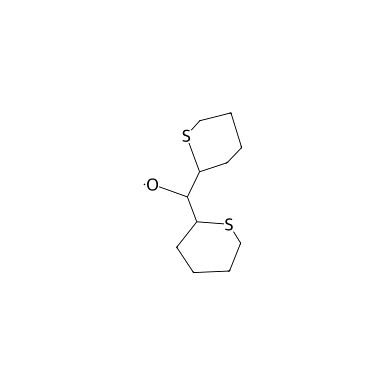 [O]C(C1CCCCS1)C1CCCCS1